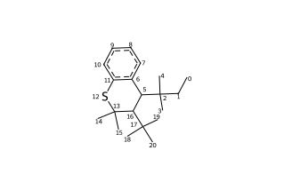 CCC(C)(C)C1c2ccccc2SC(C)(C)C1C(C)(C)C